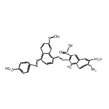 Nc1cc2c(O)c(/N=N/c3ccc(/N=N/c4ccc(S(=O)(=O)O)cc4)c4ccc(SO)cc34)c(S(=O)O)cc2cc1S(=O)(=O)O